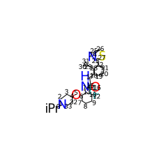 CC(C)N1CCC(O[C@H]2CCCC(F)(F)[C@@H]2NC(=O)Cc2cccc(-c3nccs3)c2C2CC2)CC1